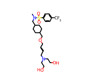 CN(CC1CCC(COCC=CCN(CCO)CCO)CC1)S(=O)(=O)c1ccc(C(F)(F)F)cc1